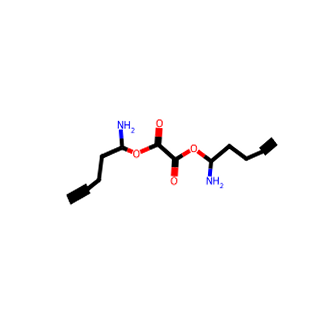 C#CCCC(N)OC(=O)C(=O)OC(N)CCC#C